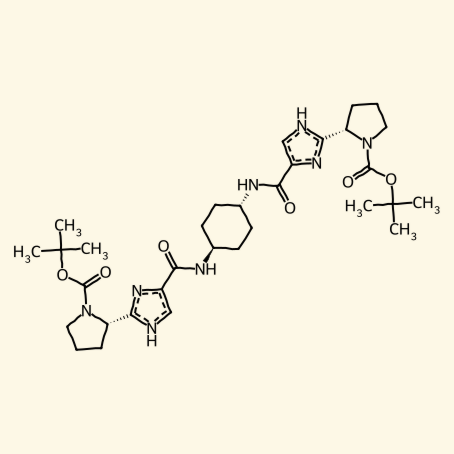 CC(C)(C)OC(=O)N1CCC[C@H]1c1nc(C(=O)N[C@H]2CC[C@H](NC(=O)c3c[nH]c([C@@H]4CCCN4C(=O)OC(C)(C)C)n3)CC2)c[nH]1